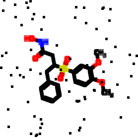 COc1ccc(S(=O)(=O)C(CC(=O)NO)Cc2ccccc2)cc1OC